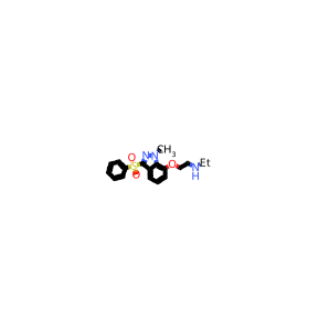 CCNCCOc1cccc2c(S(=O)(=O)c3ccccc3)nn(C)c12